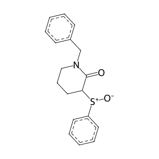 O=C1C([S+]([O-])c2ccccc2)CCCN1Cc1ccccc1